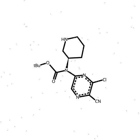 CC(C)(C)OC(=O)N(c1cnc(C#N)c(Cl)n1)[C@@H]1CCCNC1